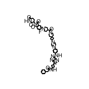 O=C1CC[C@H](N2C(=O)c3cc(F)c(N4CCC(C(=O)N5CCC6(CC5)CC(N5CCN(c7ccc(Nc8ncnc9c8ncn9C8CC(NC(=O)Cc9ccccc9)C8)cc7)CC5)C6)CC4)cc3C2=O)C(=O)N1